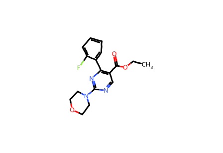 CCOC(=O)c1cnc(N2CCOCC2)nc1-c1ccccc1F